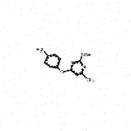 CSc1nc(C)cc(Oc2ccc(N)cc2)n1